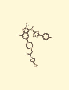 CCn1nc2c(F)cc(N3CCN(CC(=O)N4CC(O)C4)CC3)cc2c1N(C)c1nc(-c2ccc(F)cc2)ns1